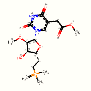 C=P(C)(C)CC[C@H]1O[C@@H](n2cc(CC(=O)OC)c(=O)[nH]c2=O)[C@H](OC)[C@@H]1O